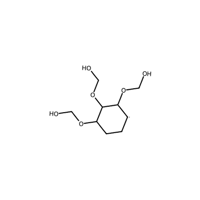 OCOC1[CH]CCC(OCO)C1OCO